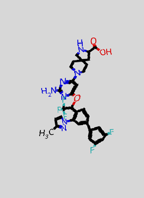 Cc1ccn(-c2cc(-c3cc(F)cc(F)c3)ccc2C(Oc2cc(N3CCC4(CC3)CNC(C(=O)O)C4)nc(N)n2)C(F)(F)F)n1